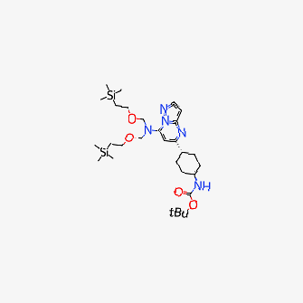 CC(C)(C)OC(=O)N[C@H]1CC[C@H](c2cc(N(COCC[Si](C)(C)C)COCC[Si](C)(C)C)n3nccc3n2)CC1